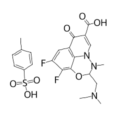 CN(C)CC1Oc2c(F)c(F)cc3c(=O)c(C(=O)O)cn(c23)N1C.Cc1ccc(S(=O)(=O)O)cc1